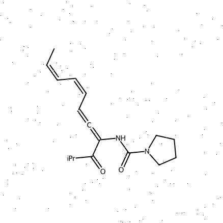 C/C=C\C=C/C=C=C(NC(=O)N1CCCC1)C(=O)C(C)C